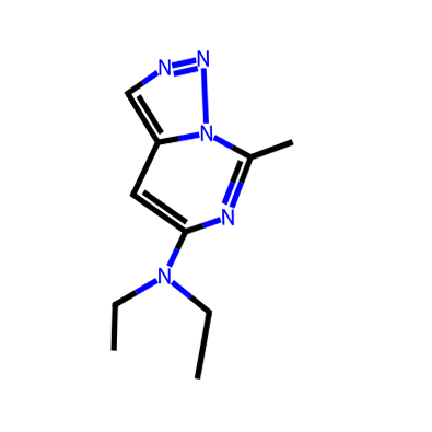 CCN(CC)c1cc2cnnn2c(C)n1